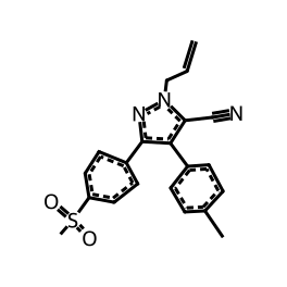 C=CCn1nc(-c2ccc(S(C)(=O)=O)cc2)c(-c2ccc(C)cc2)c1C#N